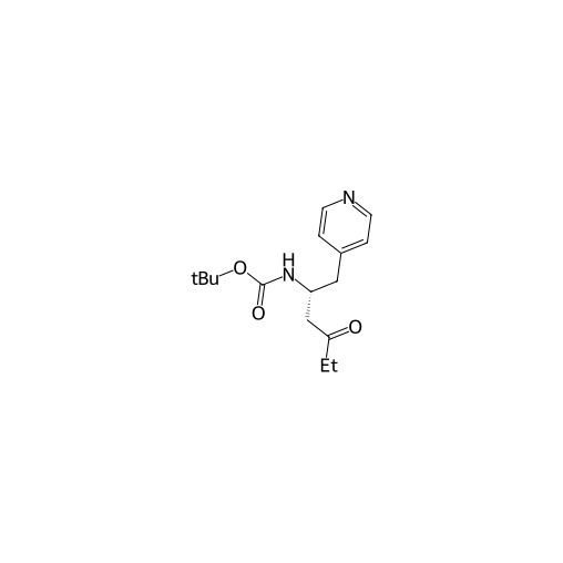 CCC(=O)C[C@@H](Cc1ccncc1)NC(=O)OC(C)(C)C